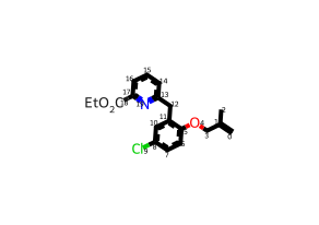 C=C(C)COc1ccc(Cl)cc1Cc1cccc(C(=O)OCC)n1